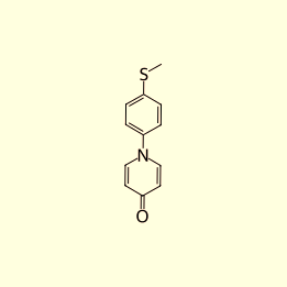 CSc1ccc(-n2ccc(=O)cc2)cc1